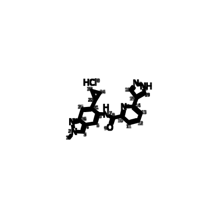 Cl.Cn1cc2cc(NC(=O)c3cccc(-c4cn[nH]c4)n3)c(C3CC3)cc2n1